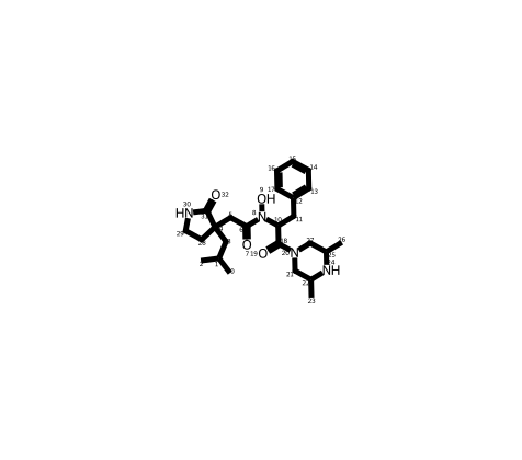 CC(C)CC1(CC(=O)N(O)C(Cc2ccccc2)C(=O)N2CC(C)NC(C)C2)CCNC1=O